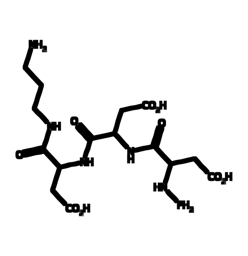 NCCCNC(=O)C(CC(=O)O)NC(=O)C(CC(=O)O)NC(=O)C(CC(=O)O)NP